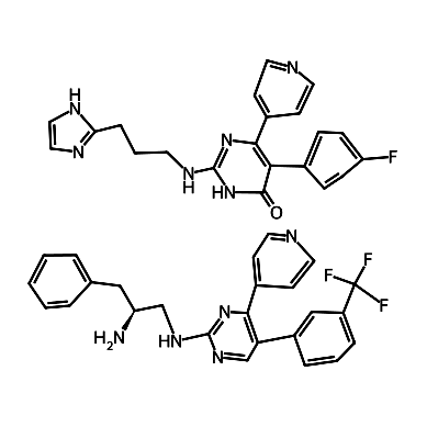 N[C@H](CNc1ncc(-c2cccc(C(F)(F)F)c2)c(-c2ccncc2)n1)Cc1ccccc1.O=c1[nH]c(NCCCc2ncc[nH]2)nc(-c2ccncc2)c1-c1ccc(F)cc1